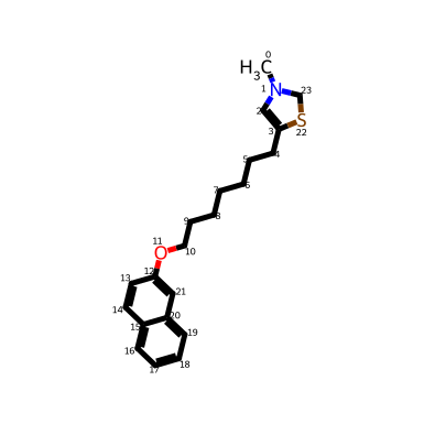 CN1C=C(CCCCCCCOc2ccc3ccccc3c2)SC1